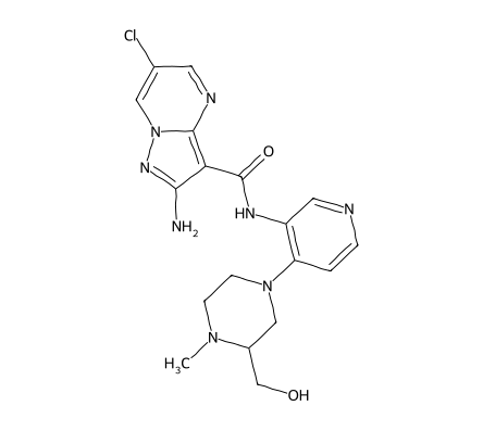 CN1CCN(c2ccncc2NC(=O)c2c(N)nn3cc(Cl)cnc23)CC1CO